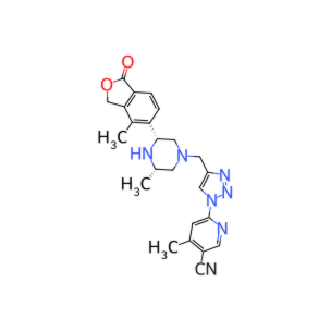 Cc1cc(-n2cc(CN3C[C@@H](c4ccc5c(c4C)COC5=O)N[C@@H](C)C3)nn2)ncc1C#N